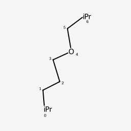 CC(C)CCCOCC(C)C